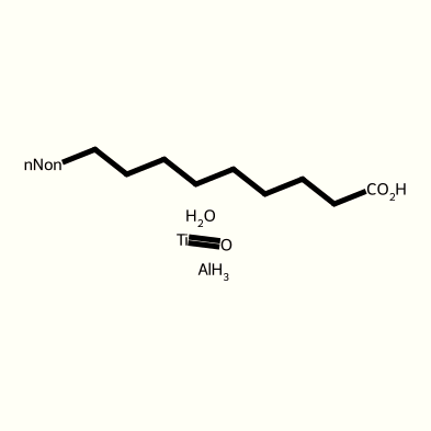 CCCCCCCCCCCCCCCCCC(=O)O.O.[AlH3].[O]=[Ti]